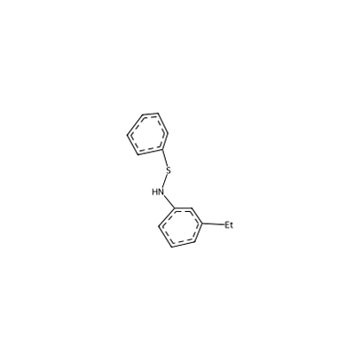 CCc1cccc(NSc2ccccc2)c1